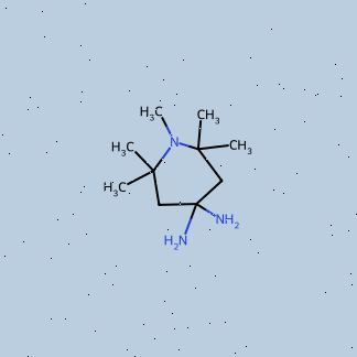 CN1C(C)(C)CC(N)(N)CC1(C)C